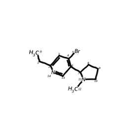 CCc1cc(Br)c(C2CCCN2C)cn1